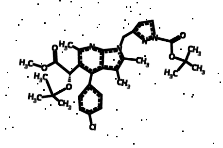 COC(=O)[C@@H](OC(C)(C)C)c1c(C)nc2c(c(C)c(C)n2Cc2ccn(C(=O)OC(C)(C)C)n2)c1-c1ccc(Cl)cc1